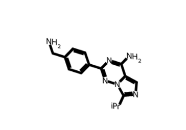 CC(C)c1ncc2c(N)nc(-c3ccc(CN)cc3)nn12